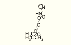 CC(C)(C)C(=O)OCCOCCOC(=O)NCc1ccccn1